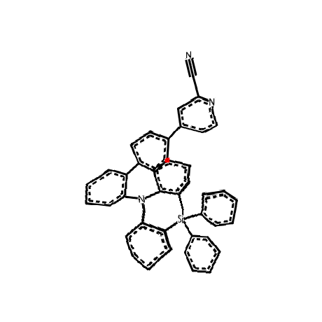 N#Cc1cc(-c2ccc(-c3ccccc3N3c4ccccc4[Si](c4ccccc4)(c4ccccc4)c4ccccc43)cc2)ccn1